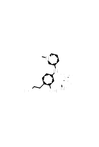 CCCOS(=O)(=O)[O-].C[n+]1cccc(Nc2ccc(CCO)c(O)c2)c1